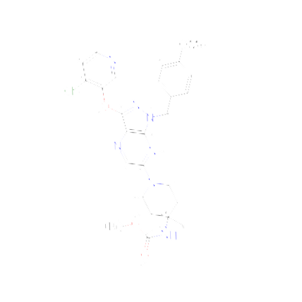 COc1ccc(Cn2nc(Oc3cnccc3Cl)c3ncc(N4CCC(C)(NC(=O)OC(C)(C)C)CC4)nc32)cc1